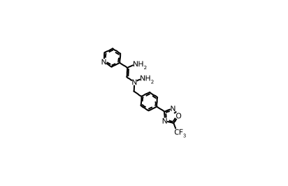 N/C(=C\N(N)Cc1ccc(-c2noc(C(F)(F)F)n2)cc1)c1cccnc1